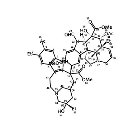 CCc1cc2c3c([nH]c2cc1C(C)=O)[C@@](C(=O)OC)(C1C=C2C(=CC1OC)N(C=O)[C@H]1[C@@](O)(C(=O)OC)[C@H](OC(C)=O)[C@]4(CC)C=CCN5CC[C@]21[C@@H]54)C[C@@H]1CN(CC3)C[C@](O)(CC)C1